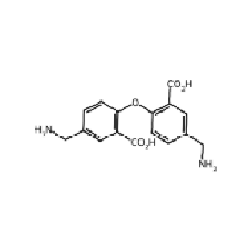 NCc1ccc(Oc2ccc(CN)cc2C(=O)O)c(C(=O)O)c1